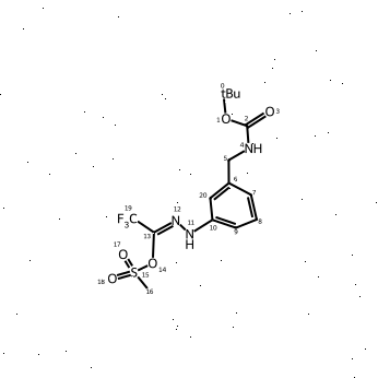 CC(C)(C)OC(=O)NCc1cccc(NN=C(OS(C)(=O)=O)C(F)(F)F)c1